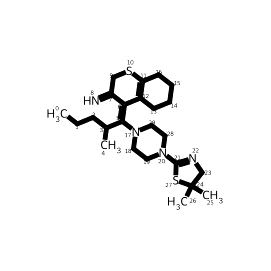 CCCC(C)/C(=C1\C(=N)CSC2=C1CCCC2)N1CCN(C2=NCC(C)(C)S2)CC1